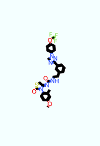 COc1ccc(N2C(=O)SC/C2=N\C(=O)NCCc2cccc(-c3ncn(-c4ccc(OC(F)(F)F)cc4)n3)c2)c(C)c1